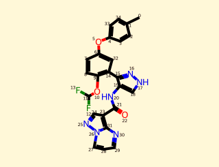 Cc1ccc(Oc2ccc(OC(F)F)c(-c3n[nH]cc3NC(=O)c3cnn4cccnc34)c2)cc1